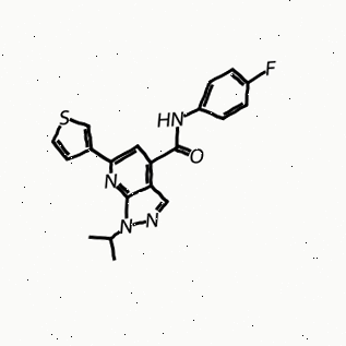 CC(C)n1ncc2c(C(=O)Nc3ccc(F)cc3)cc(-c3ccsc3)nc21